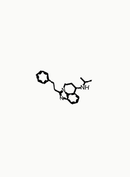 CC(C)NC1CCn2c(CCc3ccccc3)nc3cccc1c32